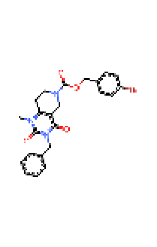 Cn1c2c(c(=O)n(Cc3ccccc3)c1=O)CN(C(=O)OCc1ccc(Br)cc1)CC2